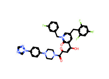 O=C(/C=C(/O)c1cc(Cc2c(F)cc(F)cc2F)cn(Cc2cccc(F)c2)c1=O)C(=O)N1CCN(c2ccc(-n3cncn3)cc2)CC1